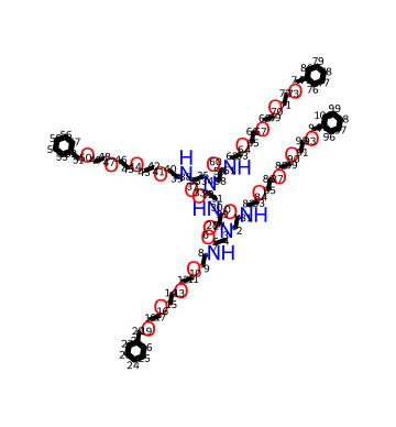 O=C(CN(CC(=O)NCCOCCOCCOCCOCc1ccccc1)C(=O)CNCC(=O)N(CC(=O)NCCOCCOCCOCCOCc1ccccc1)CC(=O)NCCOCCOCCOCCOCc1ccccc1)NCCOCCOCCOCCOCc1ccccc1